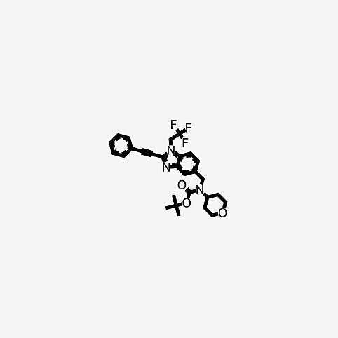 CC(C)(C)OC(=O)N(Cc1ccc2c(c1)nc(C#Cc1ccccc1)n2CC(F)(F)F)C1CCOCC1